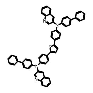 c1ccc(-c2ccc(N(c3ccc(-c4ccc(-c5ccc(N(c6ccc(-c7ccccc7)cc6)c6cnc7ccccc7c6)cc5)s4)cc3)c3cnc4ccccc4c3)cc2)cc1